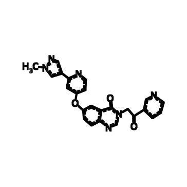 Cn1cc(-c2cc(Oc3ccc4ncn(CC(=O)c5cccnc5)c(=O)c4c3)ccn2)cn1